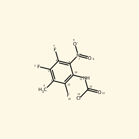 Cc1c(F)c(F)c([N+](=O)[O-])c(NC(=O)Cl)c1F